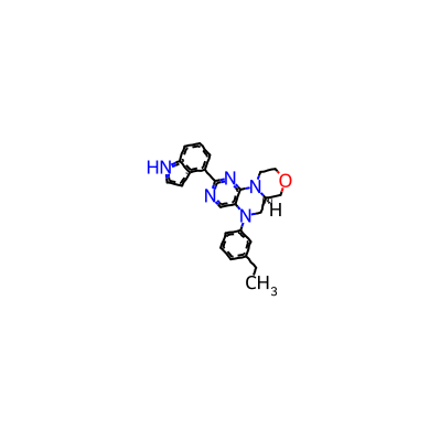 CCc1cccc(N2C[C@@H]3COCCN3c3nc(-c4cccc5[nH]ccc45)ncc32)c1